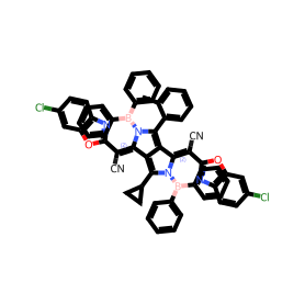 Cc1ccccc1-c1c2/c(=C(\C#N)c3nc4ccc(Cl)cc4o3)n(B(c3ccccc3)c3ccccc3)c(C3CC3)c2/c(=C(\C#N)c2nc3ccc(Cl)cc3o2)n1B(c1ccccc1)c1ccccc1